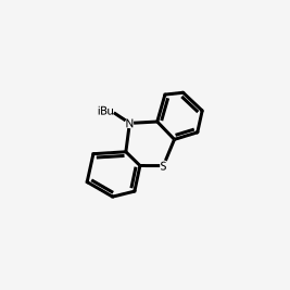 CCC(C)N1c2ccccc2Sc2ccccc21